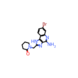 Nc1nc2cc(Br)ccc2c2[nH]c(CN3CCCCC3=O)nc12